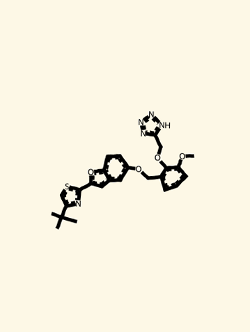 COc1cccc(COc2ccc3oc(-c4nc(C(C)(C)C)cs4)cc3c2)c1OCc1nnn[nH]1